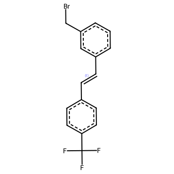 FC(F)(F)c1ccc(/C=C/c2cccc(CBr)c2)cc1